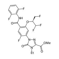 CCn1c(C(=O)OC)nn(-c2cc(O[C@@H](CF)C(F)F)c(C(=O)Nc3c(F)cccc3F)cc2F)c1=O